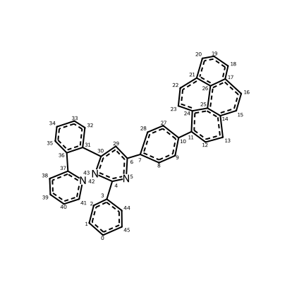 c1ccc(-c2nc(-c3ccc(-c4ccc5ccc6cccc7ccc4c5c67)cc3)cc(-c3ccccc3-c3ccccn3)n2)cc1